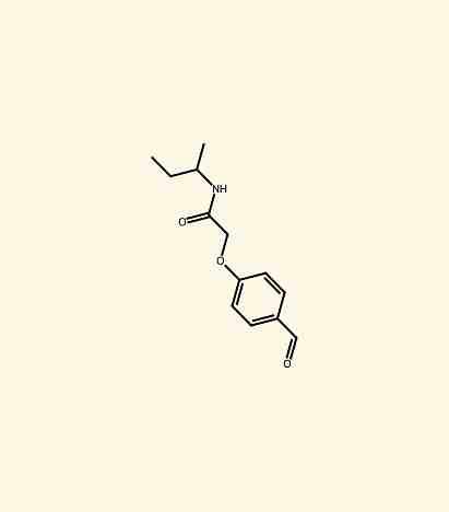 CCC(C)NC(=O)COc1ccc(C=O)cc1